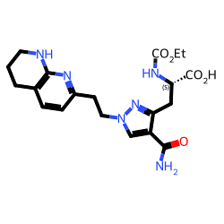 CCOC(=O)N[C@@H](Cc1nn(CCc2ccc3c(n2)NCCC3)cc1C(N)=O)C(=O)O